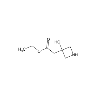 CCOC(=O)CC1(O)CNC1